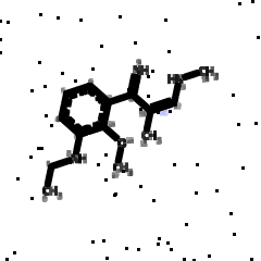 CCNc1cccc(C(=N)/C(C)=C\NC)c1OC